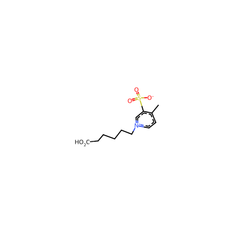 Cc1cc[n+](CCCCCC(=O)O)cc1S(=O)(=O)[O-]